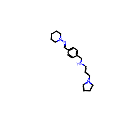 C(=NN1CCCCC1)c1ccc(CNCCCN2CCCC2)cc1